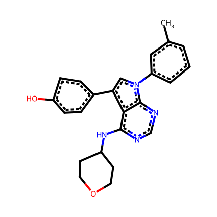 Cc1cccc(-n2cc(-c3ccc(O)cc3)c3c(NC4CCOCC4)ncnc32)c1